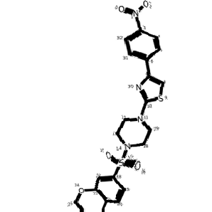 O=[N+]([O-])c1ccc(-c2csc(N3CCN(S(=O)(=O)c4ccc5c(c4)OCCO5)CC3)n2)cc1